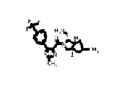 Cc1nc(C(=O)N2C[C@@H]3CC(C)C[C@@H]3[C@H]2CN)c(-c2ccc(C(F)(F)F)cc2)s1